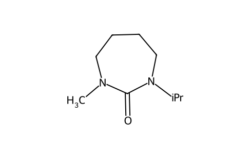 CC(C)N1CCCCN(C)C1=O